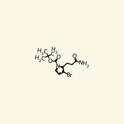 CC(C)(C)OC(=O)n1ccc(Br)c1CCC(N)=O